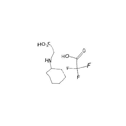 O=C(O)C(F)(F)F.O=C(O)CNC1CCCCC1